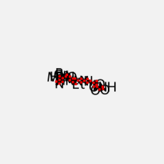 CCc1cc(Nc2ncc(Br)c(Nc3ccc4nc(C)ccc4c3P(C)(C)=O)n2)c(OC)cc1N1CCC(N2CCN(CCc3cccc4c3oc(=O)n4C3CCC(=O)NC3=O)CC2)CC1